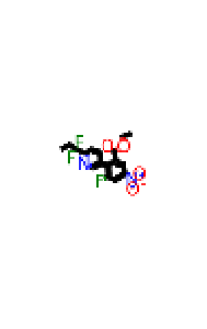 CCOC(=O)c1cc([N+](=O)[O-])cc(F)c1-c1ccc(C(F)(F)CC)nc1